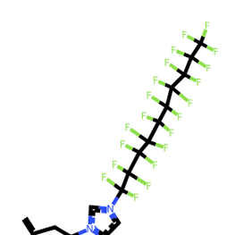 C=CCC[n+]1ccn(C(F)(F)C(F)(F)C(F)(F)C(F)(F)C(F)(F)C(F)(F)C(F)(F)C(F)(F)C(F)(F)C(F)(F)F)c1